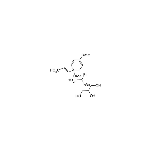 CCCCC(CC)C(=O)O.COC1=CCC(C=CC(=O)O)(OC)C=C1.OCC(O)CO